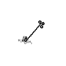 COC1=C(OC)C(=O)C(CCCCCCCCCCCCCCCCCC[PH](c2ccccc2)(c2ccccc2)c2ccccc2)=C(C)C1=O